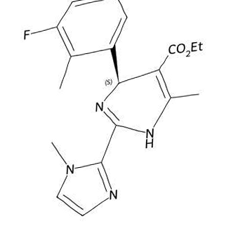 CCOC(=O)C1=C(C)NC(c2nccn2C)=N[C@H]1c1cccc(F)c1C